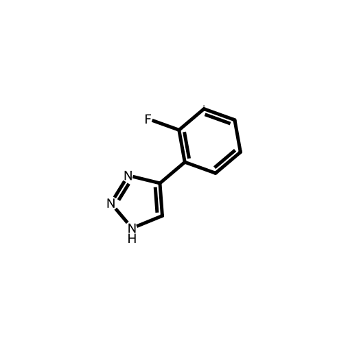 Fc1[c]cccc1-c1c[nH]nn1